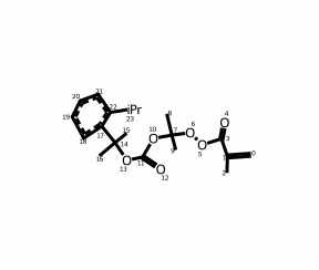 C=C(C)C(=O)OOC(C)(C)OC(=O)OC(C)(C)c1ccccc1C(C)C